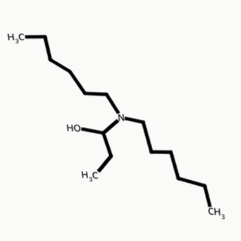 CCCCCCN(CCCCCC)C(O)CC